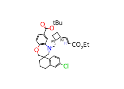 CCOC(=O)/C=C/[C@@H]1CC[C@H]1CN1CC2(CCCc3cc(Cl)ccc32)COc2ccc(C(=O)OC(C)(C)C)cc21